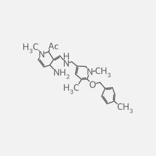 CC(=O)C1/C(=C/NCC2=CC(C)=C(OCc3ccc(C)cc3)N(C)C2)C(N)C=CN1C